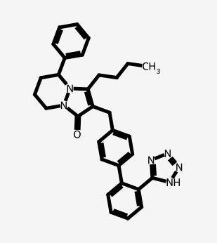 CCCCc1c(Cc2ccc(-c3ccccc3-c3nnn[nH]3)cc2)c(=O)n2n1C(c1ccccc1)CCC2